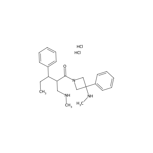 CCC(c1ccccc1)C(CNC)C(=O)N1CC(NC)(c2ccccc2)C1.Cl.Cl